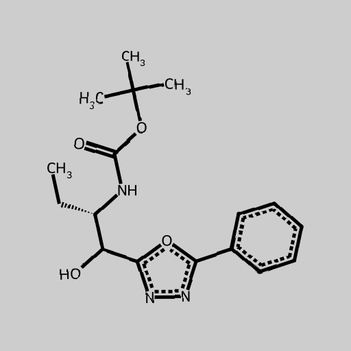 CC[C@H](NC(=O)OC(C)(C)C)C(O)c1nnc(-c2ccccc2)o1